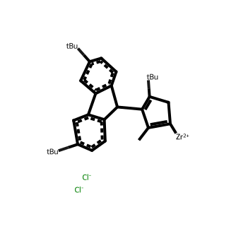 CC1=[C]([Zr+2])CC(C(C)(C)C)=C1C1c2ccc(C(C)(C)C)cc2-c2cc(C(C)(C)C)ccc21.[Cl-].[Cl-]